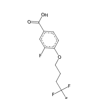 O=C(O)c1ccc(OCCCC(F)(F)F)c(F)c1